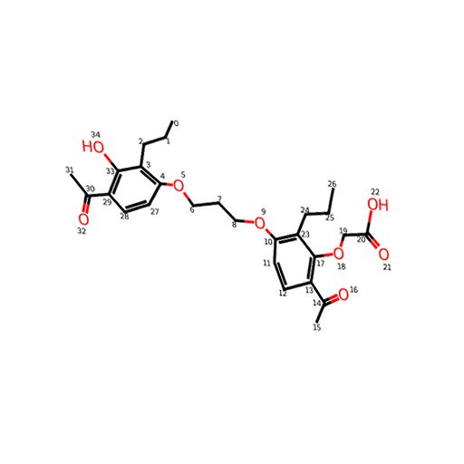 CCCc1c(OCCCOc2ccc(C(C)=O)c(OCC(=O)O)c2CCC)ccc(C(C)=O)c1O